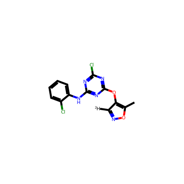 [2H]c1noc(C)c1Oc1nc(Cl)nc(Nc2ccccc2Cl)n1